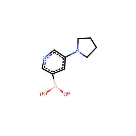 OB(O)c1cncc(N2CCCC2)c1